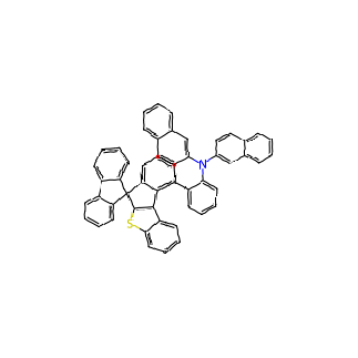 c1ccc(N(c2ccc3ccccc3c2)c2ccc3ccccc3c2)c(-c2cccc3c2-c2c(sc4ccccc24)C32c3ccccc3-c3ccccc32)c1